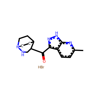 Br.Cc1ccc2c(C(=O)C3CNN4CCC3CC4)n[nH]c2n1